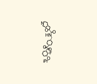 CC(C)Oc1cccc(S(=O)(=O)c2ccc(CNC(=O)c3cc4ccncc4o3)cc2)c1F